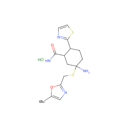 CC(C)(C)c1cnc(CSC2(N)CCC(c3nccs3)C(C([NH])=O)C2)o1.Cl